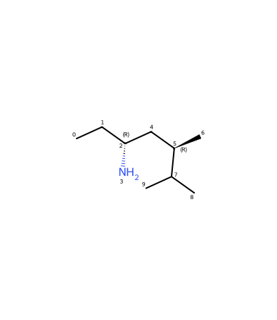 CC[C@@H](N)C[C@@H](C)C(C)C